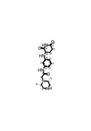 C[C@@H]1CNC[C@H](C)N1CC(=O)Nc1cccc(NC2CCC(=O)NC2=O)c1